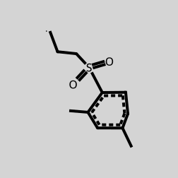 [CH2]CCS(=O)(=O)c1ccc(C)cc1C